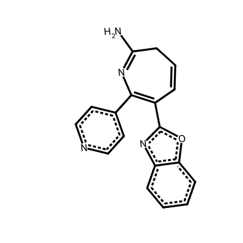 NC1=NC(c2ccncc2)=C(c2nc3ccccc3o2)C=CC1